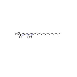 CCCCCCCCCCCCC/C=C/C(O)=C/C=C/C(=O)O